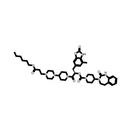 CCCCCCOC(=O)CCN1CCN(C2CCN(C(=O)[C@@H](Cc3cc(C)c4[nH]c(=O)oc4c3)OC(=O)N3CCC(N4CCc5ccccc5NC4=O)CC3)CC2)CC1